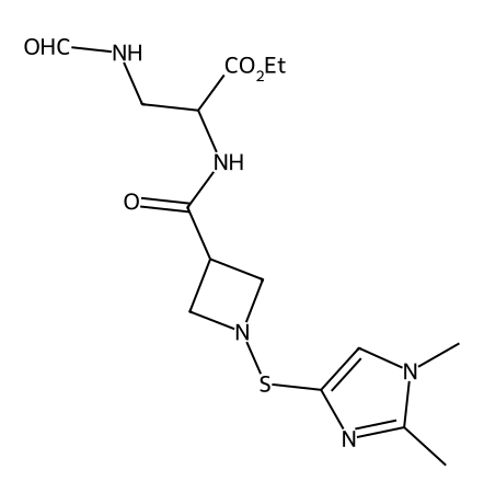 CCOC(=O)C(CNC=O)NC(=O)C1CN(Sc2cn(C)c(C)n2)C1